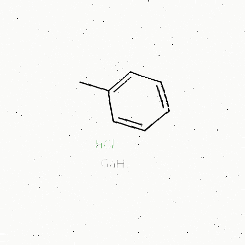 Cc1ccccc1.Cl.[GaH3]